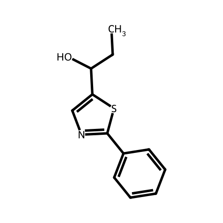 CCC(O)c1cnc(-c2ccccc2)s1